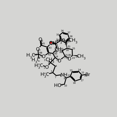 COC(C)(CC(C)CNC(CO)c1ccc(Br)cc1)C(O[C@@H]1O[C@H](C)C[C@H](N(C)C)[C@H]1OC(=O)c1ccccc1)C(C)C1=C(C)C(=O)OC(C)(C)O1